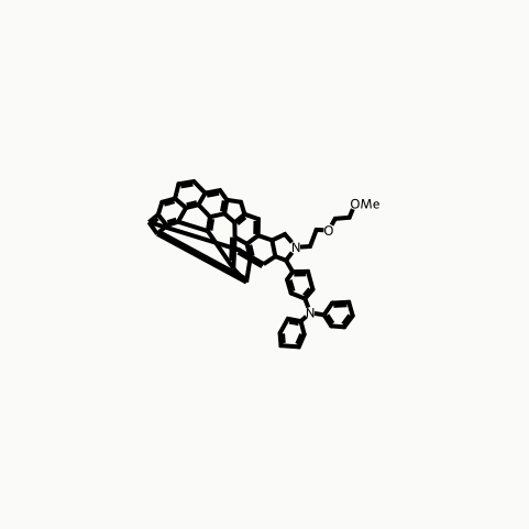 COCCOCCN1CC2c3cc4c5c6c(cc7ccc8cc9c%10cc(c%11c3c5c3c%11c%10c9c5c8c7c6c53)C2C1c1ccc(N(c2ccccc2)c2ccccc2)cc1)C4